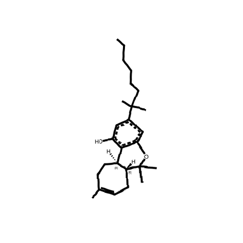 CCCCCCC(C)(C)c1cc(O)c2c(c1)OC(C)(C)[C@@H]1CC=C(C)CC[C@@H]21